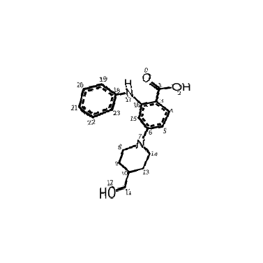 O=C(O)c1ccc(N2CCC(CO)CC2)cc1Nc1ccccc1